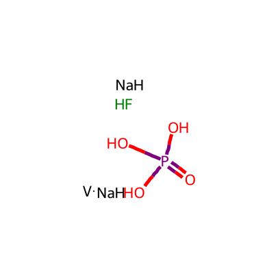 F.O=P(O)(O)O.[NaH].[NaH].[V]